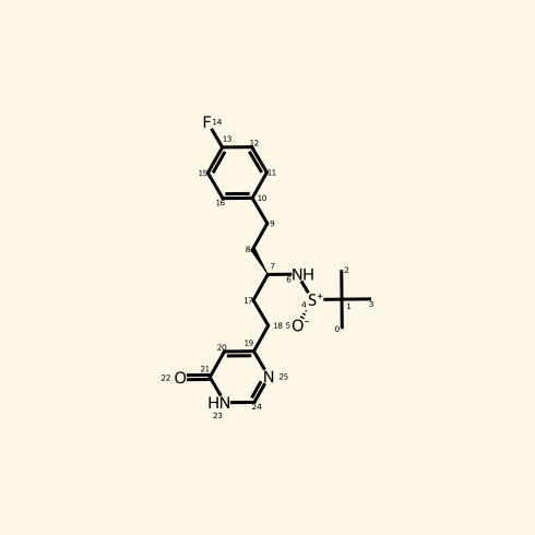 CC(C)(C)[S@+]([O-])N[C@H](CCc1ccc(F)cc1)CCc1cc(=O)[nH]cn1